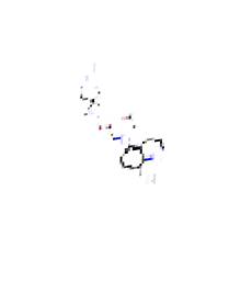 C[C@@H]1CN(c2ccc(C#N)c3ncccc23)C[C@H](C(=O)N2CC3(CCNC3)C2)O1